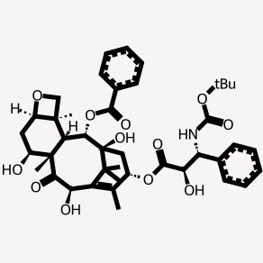 CC1=C2[C@@H](O)C(=O)[C@@]3(C)[C@H]([C@H](OC(=O)c4ccccc4)[C@](O)(C[C@@H]1OC(=O)[C@H](O)[C@H](NC(=O)OC(C)(C)C)c1ccccc1)C2(C)C)[C@]1(C)CO[C@@H]1C[C@@H]3O